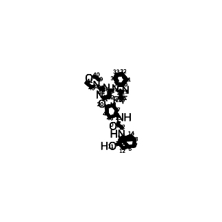 O=C(CNC12CC3CC(CC(O)(C3)C1)C2)N[C@H]1CC[C@H](Oc2cc(-n3c(C(F)F)nc4ccccc43)nc(N3CCOCC3)n2)CC1